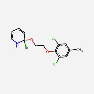 Cc1cc(Cl)c(OCCOC2(Br)C=CC=CN2)c(Cl)c1